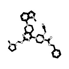 CN1CCC[C@H]1COc1nc2c(c(N3CCN(C(=O)OCc4ccccc4)[C@@H](CC#N)C3)n1)CCN(c1cccc3ccn(C)c13)C2